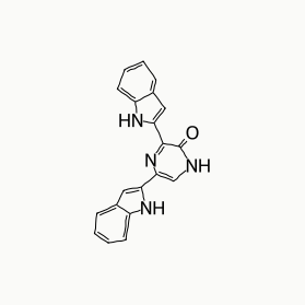 O=c1[nH]cc(-c2cc3ccccc3[nH]2)nc1-c1cc2ccccc2[nH]1